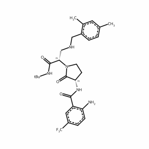 Cc1ccc(CNC[C@@H](C(=O)NC(C)(C)C)N2CC[C@H](NC(=O)c3cc(C(F)(F)F)ccc3N)C2=O)c(C)c1